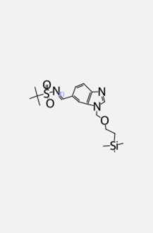 CC(C)(C)S(=O)(=O)/N=C/c1ccc2ncn(COCC[Si](C)(C)C)c2c1